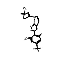 Cc1cc(C(F)(F)F)cc(O)c1-c1cc2ccn(C3CC(C)(O)C3)c2nn1